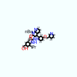 CCCCn1c(=O)c(NC(=O)Nc2c(C(C)C)cc(CO)cc2C(C)C)c(-c2cccc(OCc3cccnc3)c2)c2cccnc21